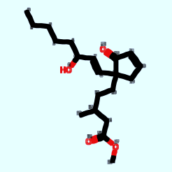 CCCCCC(O)C=CC1(CCC(C)CC(=O)OC)CC=CC1=O